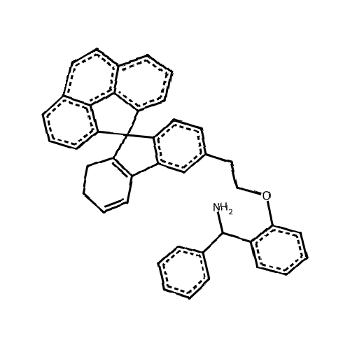 NC(c1ccccc1)c1ccccc1OCCc1ccc2c(c1)C1=C(CCC=C1)C21c2cccc3ccc4cccc1c4c23